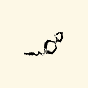 CC#CCCON1CCN(c2ccccn2)CC1